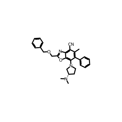 Cc1c(-c2ccccc2)c(N2CC[C@H](N(C)C)C2)c2oc(COCc3ccccc3)nc2c1C#N